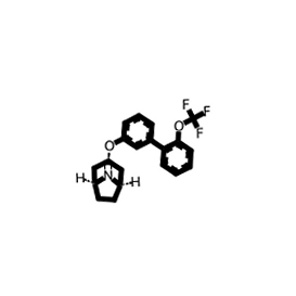 FC(F)(F)Oc1ccccc1-c1cccc(O[C@@H]2C[C@H]3CC[C@@H](C2)N3)c1